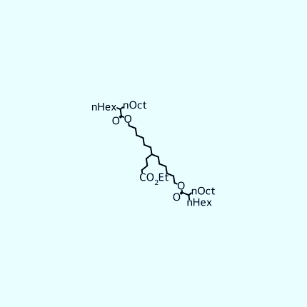 CCCCCCCCC(CCCCCC)C(=O)OCCCCCCC(CCCCCCOC(=O)C(CCCCCC)CCCCCCCC)CCCC(=O)OCC